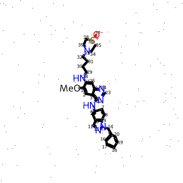 COc1cc2c(Nc3ccc4c(cnn4Cc4ccccc4)c3)ncnc2cc1NCCCCN1CC[S+]([O-])CC1